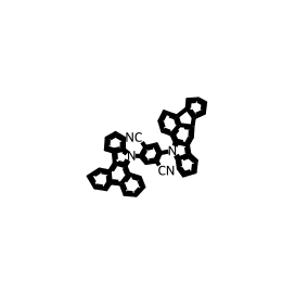 N#Cc1cc(-n2c3ccccc3c3c4ccccc4c4ccccc4c32)c(C#N)cc1-n1c2ccccc2c2cc3c4c(cccc4c21)-c1ccccc1-3